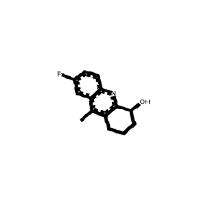 Cc1c2c(nc3ccc(F)cc13)C(O)CCC2